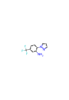 Nc1cc(C(F)(F)F)ccc1-n1cccn1